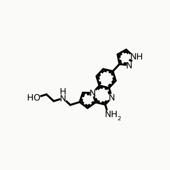 Nc1nc2cc(-c3cc[nH]n3)ccc2n2cc(CNCCO)cc12